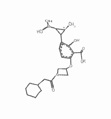 C[C@@H]1C(B(O)O)C1c1ccc(OC2CN(C(=O)CC3CCCCC3)C2)c(C(=O)O)c1O